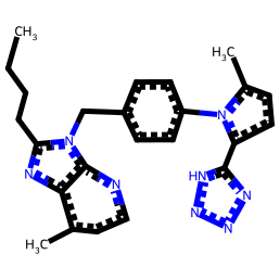 CCCCc1nc2c(C)ccnc2n1Cc1ccc(-n2c(C)ccc2-c2nnn[nH]2)cc1